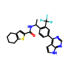 CC(NC(=O)c1cc2c(s1)CCCC2)c1ccc(-c2ncnc3[nH]ccc23)cc1C(F)(F)F